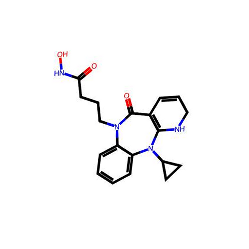 O=C(CCCN1C(=O)C2=C(NCC=C2)N(C2CC2)c2ccccc21)NO